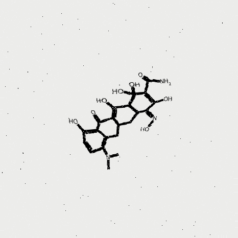 CN(C)c1ccc(O)c2c1CC1CC3/C(=N\O)C(O)=C(C(N)=O)C(O)(O)C3C(O)=C1C2=O